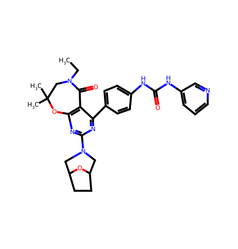 CCN1CC(C)(C)Oc2nc(N3CC4CCC(C3)O4)nc(-c3ccc(NC(=O)Nc4cccnc4)cc3)c2C1=O